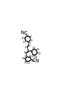 N#Cc1ccc(C=CC(=Cc2cccc(C#N)c2)c2ccccc2)cc1